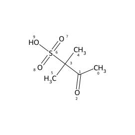 CC(=O)C(C)(C)S(=O)(=O)O